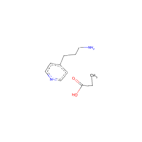 CCC(=O)O.NCCCc1ccncc1